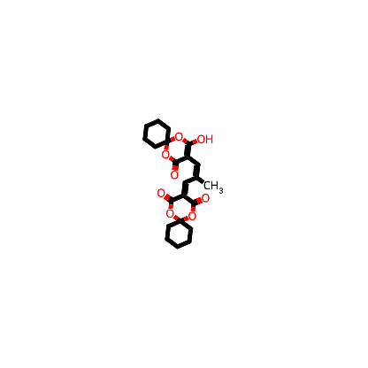 CC(=CC1=C(O)OC2(CCCCC2)OC1=O)C=C1C(=O)OC2(CCCCC2)OC1=O